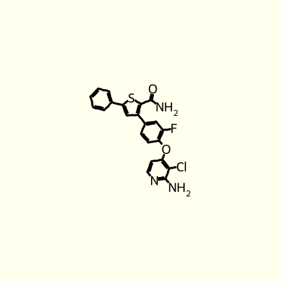 NC(=O)c1sc(-c2ccccc2)cc1-c1ccc(Oc2ccnc(N)c2Cl)c(F)c1